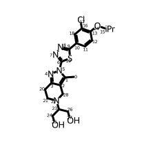 Cc1c2c(nn1-c1nnc(-c3ccc(OC(C)C)c(Cl)c3)s1)CCN(C(CO)CO)C2